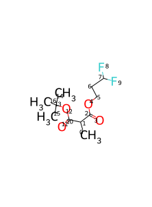 CC(C(=O)OCCC(F)F)C(=O)OC(C)(C)C